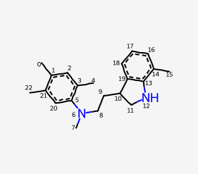 Cc1cc(C)c(N(C)CCC2CNc3c(C)cccc32)cc1C